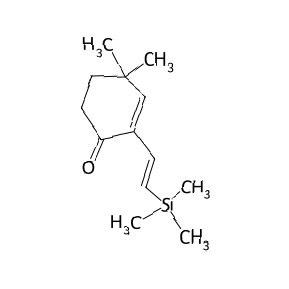 CC1(C)C=C(C=C[Si](C)(C)C)C(=O)CC1